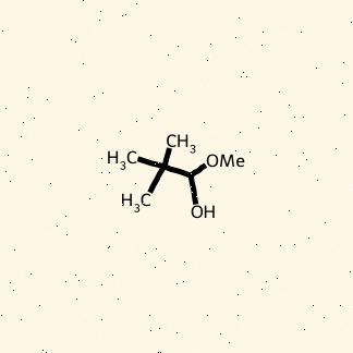 COC(O)C(C)(C)C